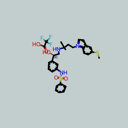 CSc1ccc2c(ccn2CCC(C)(C)NC[C@H](O)c2cccc(NS(=O)(=O)c3ccccc3)c2)c1.O=C(O)C(F)(F)F